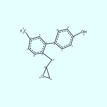 Oc1ccc(-c2cc(C(F)(F)F)ccc2CC2CO2)cc1